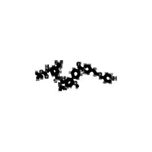 COc1cc2nc(C)nc(N[C@H](C)c3cc(NC(=O)OC(C)(C)C)cc(C(F)(F)F)c3)c2cc1[C@H]1CC[C@H](C(=O)N2CCC(CCOCC3CCNCC3)CC2)CC1